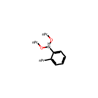 CCCO[SiH](OCCC)c1ccccc1CCC